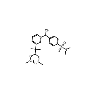 C[SiH2]OC(O[SiH2]C)C(C)(C)c1cccc(C(O)c2ccc(S(=O)(=O)N(C)C)cc2)c1